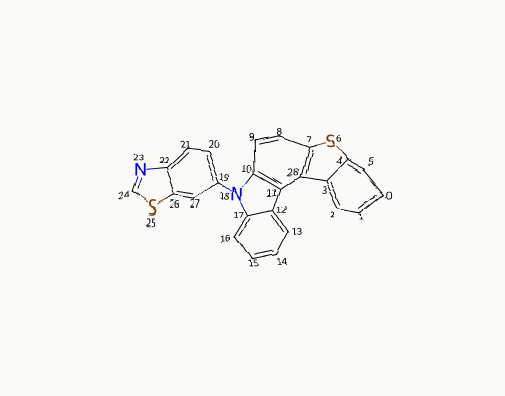 c1ccc2c(c1)sc1ccc3c(c4ccccc4n3-c3ccc4ncsc4c3)c12